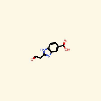 O=CCc1nc2cc(C(=O)O)ccc2[nH]1